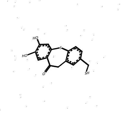 O=C1Cc2cc(CS)ccc2Sc2cc(O)c(O)cc21